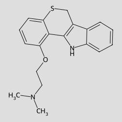 CN(C)CCOc1cccc2c1-c1[nH]c3ccccc3c1CS2